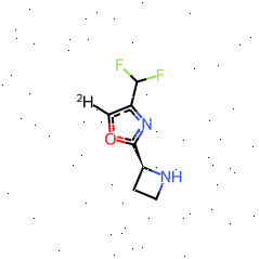 [2H]c1oc([C@@H]2CCN2)nc1C(F)F